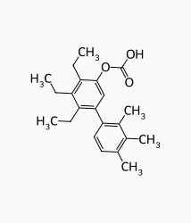 CCc1c(OC(=O)O)cc(-c2ccc(C)c(C)c2C)c(CC)c1CC